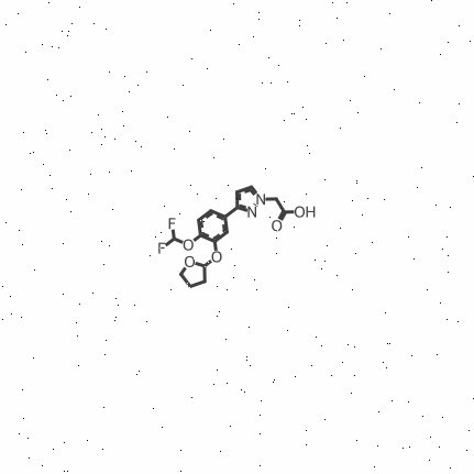 O=C(O)Cn1ccc(-c2ccc(OC(F)F)c(OC3CCCO3)c2)n1